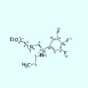 C=CCN[C@@H](CN1C[C@H]1C(=O)OCC)c1cc(F)c(F)c(F)c1